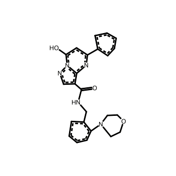 O=C(NCc1ccccc1N1CCOCC1)c1cnn2c(O)cc(-c3ccccc3)nc12